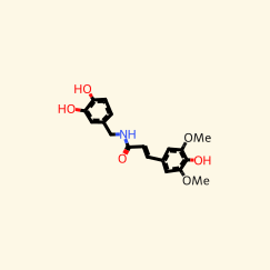 COc1cc(C=CC(=O)NCc2ccc(O)c(O)c2)cc(OC)c1O